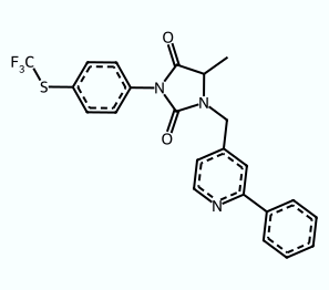 CC1C(=O)N(c2ccc(SC(F)(F)F)cc2)C(=O)N1Cc1ccnc(-c2ccccc2)c1